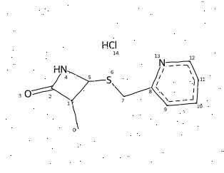 CC1C(=O)NC1SCc1ccccn1.Cl